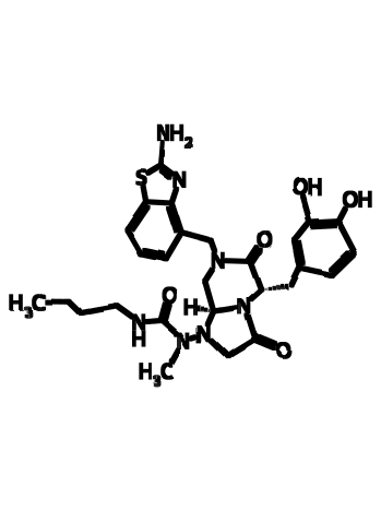 CCCCNC(=O)N(C)N1CC(=O)N2[C@@H](Cc3ccc(O)c(O)c3)C(=O)N(Cc3cccc4sc(N)nc34)C[C@@H]21